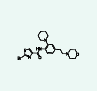 O=C(Nc1ccc(CCN2CCOCC2)cc1N1CCCCC1)c1csc(Br)n1